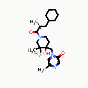 Cc1cn(CC2(O)CCN(C(=O)[C@H](C)CC3CCCCC3)CC2(C)C)c(=O)cn1